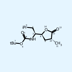 CC(C)C[C@H](NC(=O)OC(C)(C)C)[C@@H]1C[C@@H](C)C(=O)O1